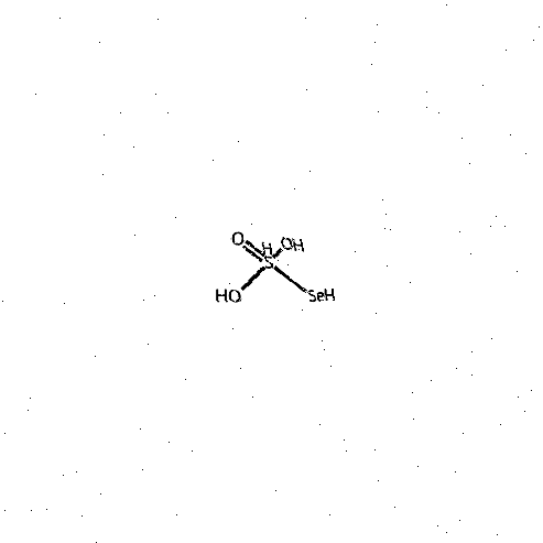 O=[SH](O)(O)[SeH]